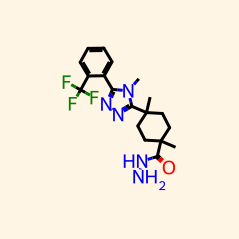 Cn1c(-c2ccccc2C(F)(F)F)nnc1C1(C)CCC(C)(C(=O)NN)CC1